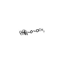 Cc1ccc(C=Cc2ccc(C=Cc3nnc(C(Cl)(Cl)Cl)o3)cc2)cc1